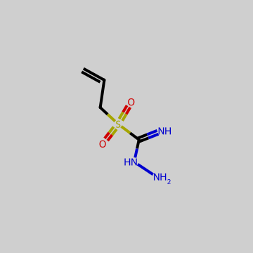 C=CCS(=O)(=O)C(=N)NN